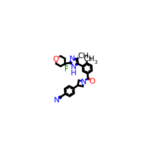 Cc1ccc(C(=O)N2CC(c3ccc(C#N)cc3)C2)cc1-c1[nH]c(C2(F)CCOCC2)nc1C